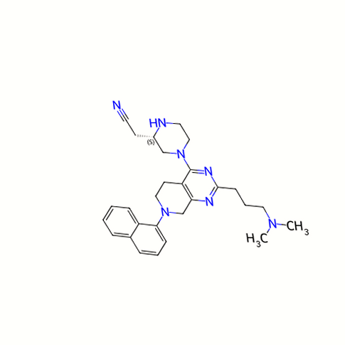 CN(C)CCCc1nc2c(c(N3CCN[C@@H](CC#N)C3)n1)CCN(c1cccc3ccccc13)C2